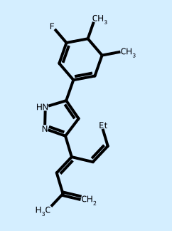 C=C(C)/C=C(\C=C/CC)c1cc(C2=CC(C)C(C)C(F)=C2)[nH]n1